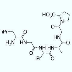 CC(C)CC(N)C(=O)NCC(=O)NC(C(=O)NC(C)C(=O)NCC(=O)N1CCCC1C(=O)O)C(C)C